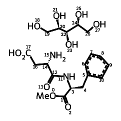 COC(=O)[C@H](Cc1ccccc1)NC(=O)[C@@H](N)CC(=O)O.OC[C@@H](O)[C@H](O)[C@@H](O)CO